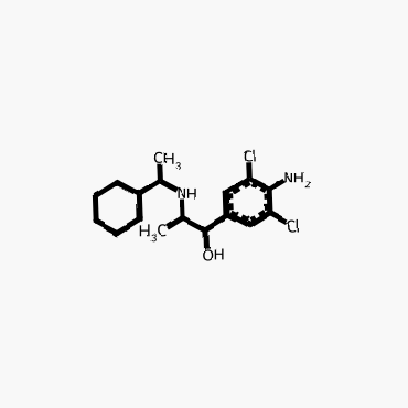 CC(NC(C)C(O)c1cc(Cl)c(N)c(Cl)c1)C1CCCCC1